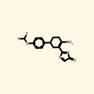 NC1=C(C2=NC(=O)C=N2)CC(c2ccc(OC(F)F)cc2)CC1